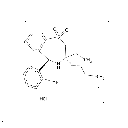 CCCC[C@@]1(CC)CS(=O)(=O)c2ccccc2[C@H](c2ccccc2F)N1.Cl